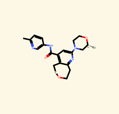 CC[C@@H]1CN(c2cc(C(=O)Nc3ccc(C)nc3)c3c(n2)CCOCC3)CCO1